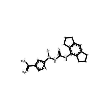 C=C(C)c1coc([S+]([O-])NC(=O)Nc2c3c(cc4c2CCC4)CCC3)c1